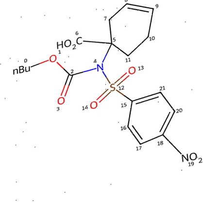 CCCCOC(=O)N(C1(C(=O)O)CC=CCC1)S(=O)(=O)c1ccc([N+](=O)[O-])cc1